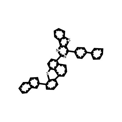 c1ccc(-c2ccc(-c3nc(-c4ccc5c6c(cccc46)-c4cccc(-c6ccc7ccccc7c6)c4S5)nc4c3sc3ccccc34)cc2)cc1